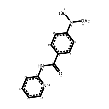 CC(=O)ON(c1ccc(C(=O)Nc2ccccn2)cc1)C(C)(C)C